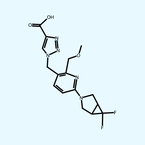 COCc1nc(N2CC3C(C2)C3(F)F)ccc1Cn1cc(C(=O)O)nn1